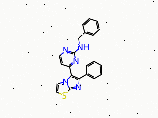 c1ccc(CNc2nccc(-c3c(-c4ccccc4)nc4sccn34)n2)cc1